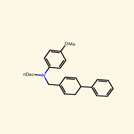 CCCCCCCCCCN(CC1=CCC(c2ccccc2)C=C1)c1ccc(OC)cc1